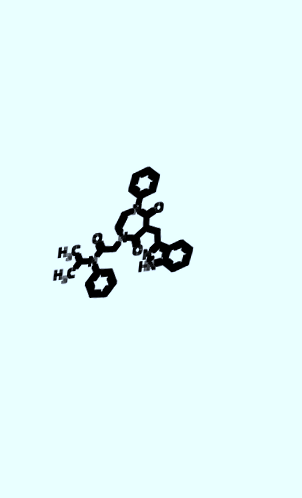 CC(C)N(C(=O)CN1C=CN(c2ccccc2)C(=O)C(Cc2n[nH]c3ccccc23)C1=O)c1ccccc1